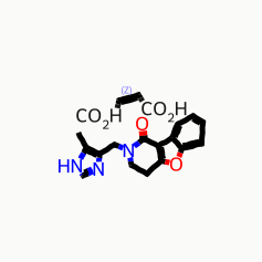 Cc1[nH]cnc1CN1CCc2oc3ccccc3c2C1=O.O=C(O)/C=C\C(=O)O